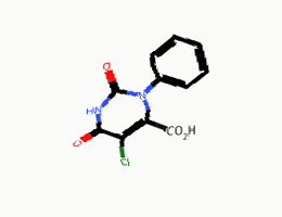 O=C(O)c1c(Cl)c(=O)[nH]c(=O)n1-c1ccccc1